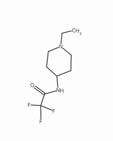 CCN1CCC(NC(=O)C(F)(F)F)CC1